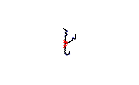 CC/C=C\C/C=C\C/C=C\CCCCCCCC(=O)OC[C@H](COC(=O)CCCCC/C=C\C/C=C\C/C=C\C/C=C\CCCCC)OC(=O)CCCCCC/C=C\C/C=C\C/C=C\CCCCC